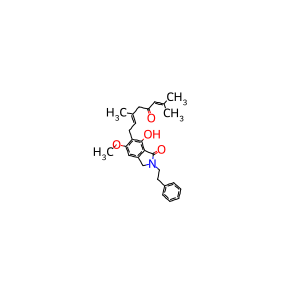 COc1cc2c(c(O)c1C/C=C(\C)CC(=O)C=C(C)C)C(=O)N(CCc1ccccc1)C2